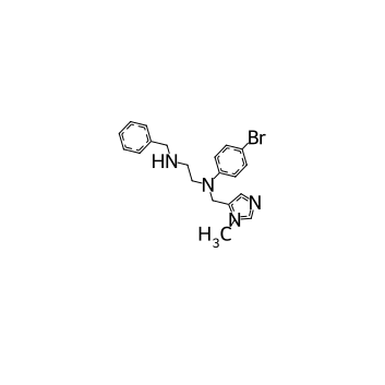 Cn1cncc1CN(CCNCc1ccccc1)c1ccc(Br)cc1